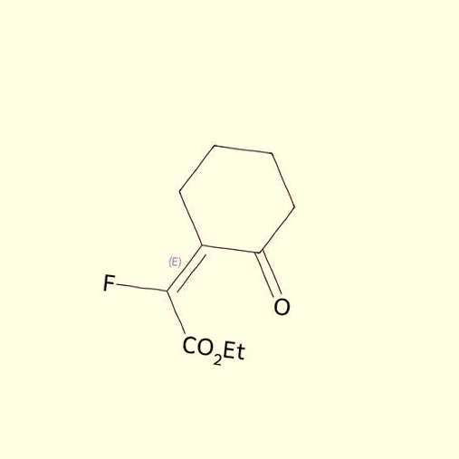 CCOC(=O)/C(F)=C1/CCCCC1=O